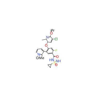 COc1ncccc1-c1cc(C(=O)NS(=N)(=O)C2CC2)c(F)cc1OC1C=C(Cl)C(OC(C)C)=NC1C